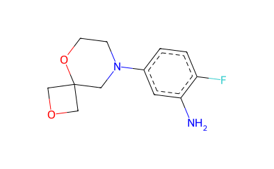 Nc1cc(N2CCOC3(COC3)C2)ccc1F